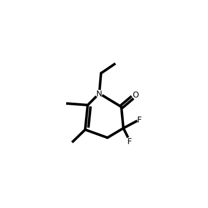 CCN1C(=O)C(F)(F)CC(C)=C1C